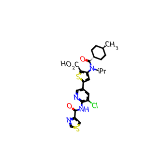 CC(C)N(c1cc(-c2cnc(NC(=O)c3cscn3)c(Cl)c2)sc1C(=O)O)C(=O)[C@H]1CC[C@H](C)CC1